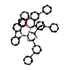 C/C=C\C(=C(/C)n1c2ccccc2c2ccc3c4ccccc4n(-c4nc(-c5cccc(-c6ccccc6)c5)nc(-c5cccc(-c6ccccc6)c5)n4)c3c21)c1cc(-c2ccccc2)ccc1-c1ccccc1